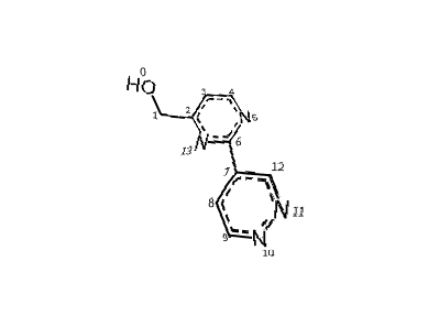 OCc1ccnc(-c2ccnnc2)n1